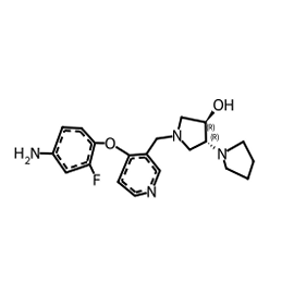 Nc1ccc(Oc2ccncc2CN2C[C@@H](O)[C@H](N3CCCC3)C2)c(F)c1